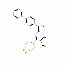 CC(=O)c1c(N2CCS(=O)(=O)CC2)nc2c(-c3ccc(-c4ccccc4)cc3)cnn2c1N